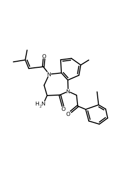 CC(C)=CC(=O)N1CC(N)C(=O)N(CC(=O)c2ccccc2C)c2cc(C)ccc21